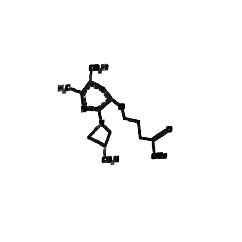 CCOC(=O)c1cc(OCCCC(=O)OC)c(N2CC(C(=O)O)C2)nc1C